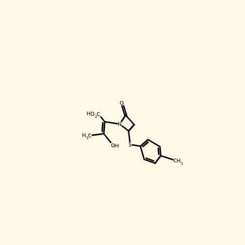 CC(O)=C(C(=O)O)N1C(=O)CC1Sc1ccc(C)cc1